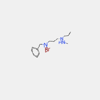 CCCN(CCCN(Br)Cc1ccccc1)NC